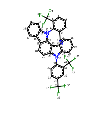 N#Cc1cccc(C(F)(F)F)c1-n1c2ccccc2c2ccc3c(c4ccccc4n3-c3ccc(C(F)(F)F)cc3C(F)(F)F)c21